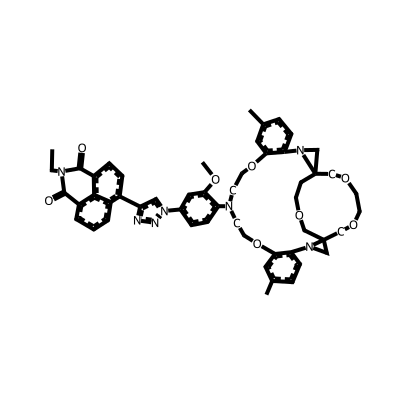 CCN1C(=O)c2cccc3c(-c4cn(-c5ccc(N6CCOc7cc(C)ccc7N7CC78CCOCC7(COCCOC8)CN7c7ccc(C)cc7OCC6)c(OC)c5)nn4)ccc(c23)C1=O